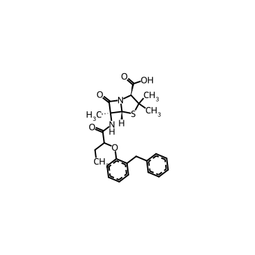 CCC(Oc1ccccc1Cc1ccccc1)C(=O)N[C@@]1(C)C(=O)N2[C@@H](C(=O)O)C(C)(C)S[C@@H]21